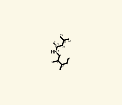 CCC(C)C(C)CN[C@@H](C)CC(C)C